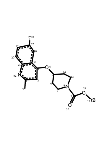 Cc1cc(OC2CCN(C(=O)OC(C)(C)C)CC2)c2cc(F)ccc2n1